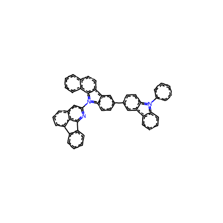 c1ccc(-n2c3ccccc3c3cc(-c4ccc5c(c4)c4ccc6ccccc6c4n5-c4cc5cccc6c5c(n4)-c4ccccc4-6)ccc32)cc1